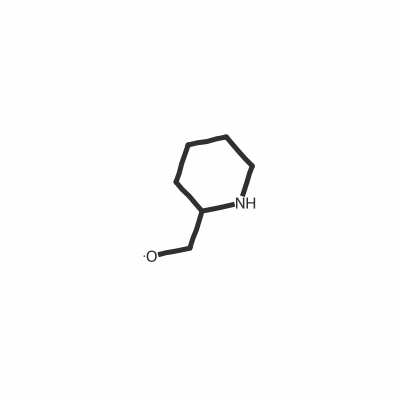 [O]CC1CCCCN1